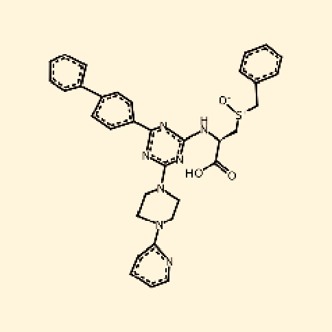 O=C(O)[C@H](C[S+]([O-])Cc1ccccc1)Nc1nc(-c2ccc(-c3ccccc3)cc2)nc(N2CCN(c3ccccn3)CC2)n1